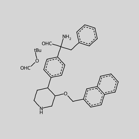 CC(C)(C)OC=O.NC(C=O)(Cc1ccccc1)c1ccc(C2CCNCC2OCc2ccc3ccccc3c2)cc1